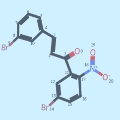 O=C(C=Cc1cccc(Br)c1)c1cc(Br)ccc1[N+](=O)[O-]